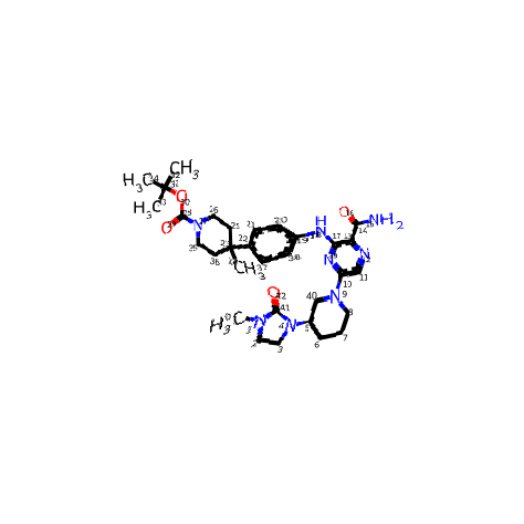 CN1CCN([C@@H]2CCCN(c3cnc(C(N)=O)c(Nc4ccc(C5(C)CCN(C(=O)OC(C)(C)C)CC5)cc4)n3)C2)C1=O